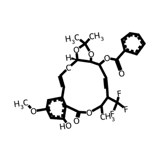 COc1cc(O)c2c(c1)/C=C/C[C@@H]1OC(C)(C)OC1C(OC(=O)c1ccccc1)/C=C\C(C(F)(F)F)C(C)OC2=O